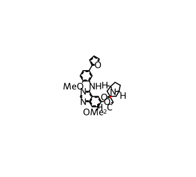 C=CC(=O)N1[C@@H]2CC[C@H]1CC(Oc1cc3c(Nc4cc(-c5ccco5)ccc4OC)ncnc3cc1OC)C2